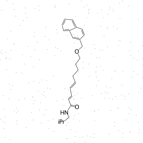 CC(C)CNC(=O)/C=C/C=C/CCCCOCc1ccc2ccccc2c1